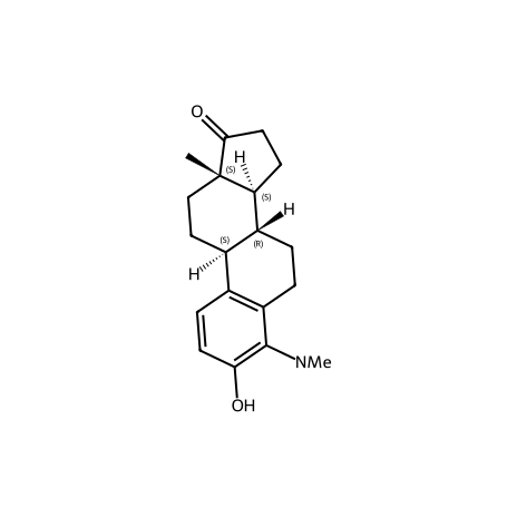 CNc1c(O)ccc2c1CC[C@@H]1[C@@H]2CC[C@]2(C)C(=O)CC[C@@H]12